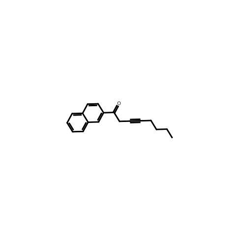 CCCCC#CCC(=O)c1ccc2ccccc2c1